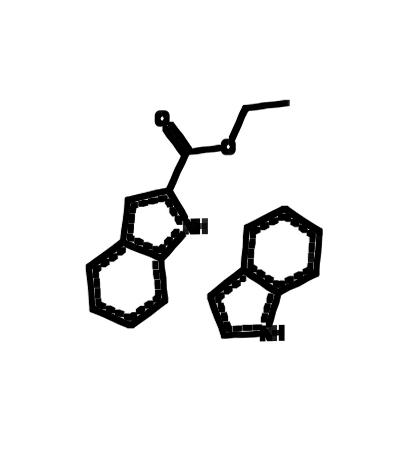 CCOC(=O)c1cc2ccccc2[nH]1.c1ccc2[nH]ccc2c1